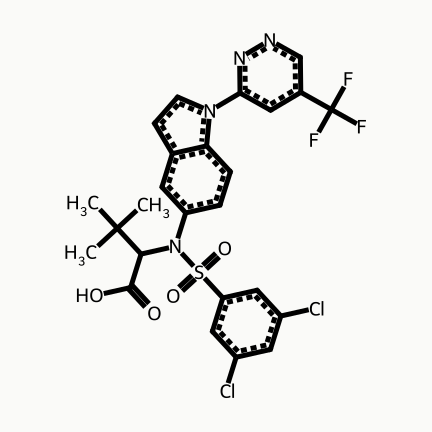 CC(C)(C)C(C(=O)O)N(c1ccc2c(ccn2-c2cc(C(F)(F)F)cnn2)c1)S(=O)(=O)c1cc(Cl)cc(Cl)c1